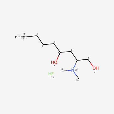 CCCCCCCCCCC(O)CC(CO)N(C)C.F